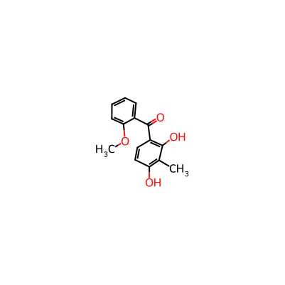 COc1ccccc1C(=O)c1ccc(O)c(C)c1O